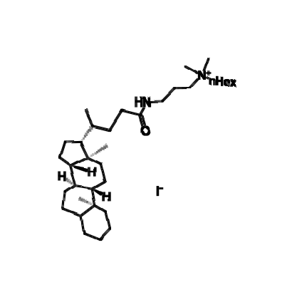 CCCCCC[N+](C)(C)CCCNC(=O)CCC(C)[C@H]1CC[C@H]2[C@@H]3CCC4CCCC[C@]4(C)[C@H]3CC[C@]12C.[I-]